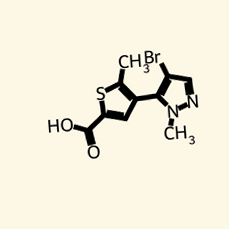 Cc1sc(C(=O)O)cc1-c1c(Br)cnn1C